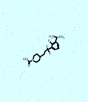 C[C@@H](N)c1cccc(C(F)(F)CCC2CCN(C(=O)O)CC2)c1F